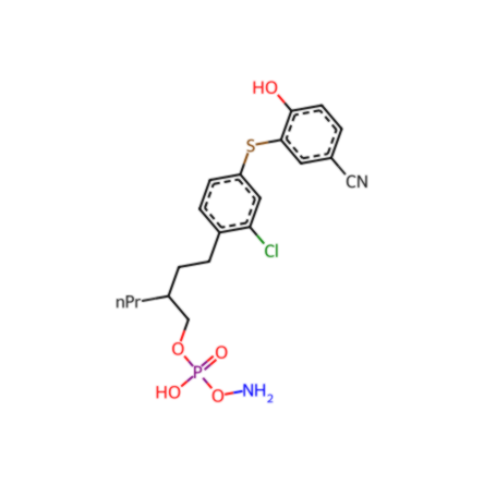 CCCC(CCc1ccc(Sc2cc(C#N)ccc2O)cc1Cl)COP(=O)(O)ON